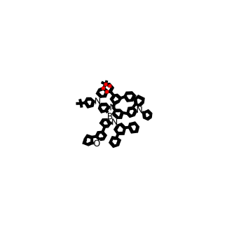 CC(C)(C)c1ccc(N(c2ccc(C(C)(C)C)cc2)c2ccc3c(c2)N(c2cc(-c4ccccc4)cc(-c4ccccc4)c2)c2cc(-c4ccc5c(c4)c4ccccc4n5-c4ccccc4)cc4c2B3c2ccc(-c3ccc5oc6ccccc6c5c3)cc2N4c2cc(-c3ccccc3)cc(-c3ccccc3)c2)cc1